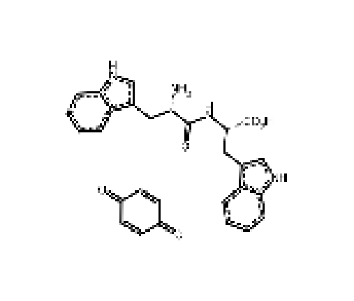 N[C@@H](Cc1c[nH]c2ccccc12)C(=O)N[C@@H](Cc1c[nH]c2ccccc12)C(=O)O.O=C1C=CC(=O)C=C1